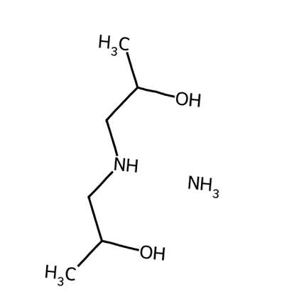 CC(O)CNCC(C)O.N